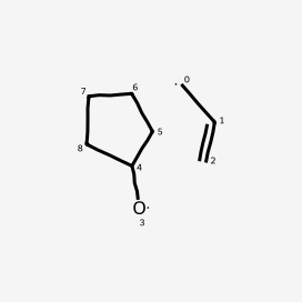 [CH2]C=C.[O]C1CCCC1